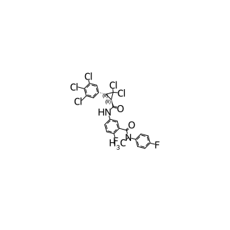 CN(C(=O)c1cc(NC(=O)[C@H]2[C@H](c3cc(Cl)c(Cl)c(Cl)c3)C2(Cl)Cl)ccc1F)c1ccc(F)cc1